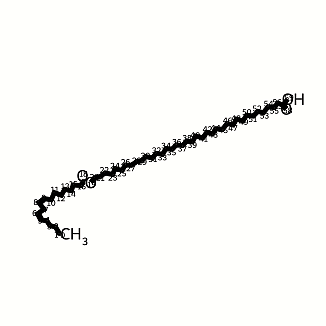 CCCCC/C=C\C/C=C\CCCCCCCC(=O)OCCCCCCCCCCCCCCCCCCCCCCCCCCCCCCCCCCCCCC(=O)O